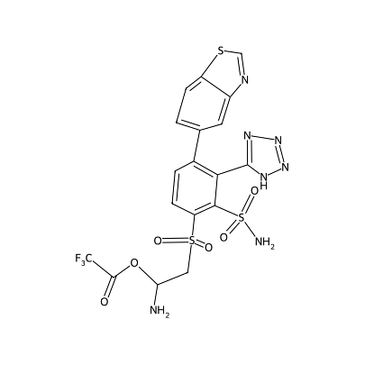 NC(CS(=O)(=O)c1ccc(-c2ccc3scnc3c2)c(-c2nnn[nH]2)c1S(N)(=O)=O)OC(=O)C(F)(F)F